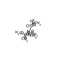 C=CC(=O)N1CC(n2nc(C#Cc3cc4nc(C)n(C(F)F)c4cc3Cl)c(C(N)=O)c2NC)C[C@@H]1COC